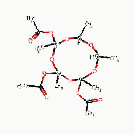 CC(=O)O[Si]1(C)O[SiH](C)O[SiH](C)O[Si](C)(OC(C)=O)O[Si](C)(OC(C)=O)O1